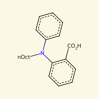 CCCCCCCCN(c1ccccc1)c1ccccc1C(=O)O